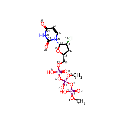 COP(=O)(O)OP(=O)(OC)OP(=O)(O)OC[C@@H]1C[C@H](Cl)[C@@H](n2ccc(=O)[nH]c2=O)O1